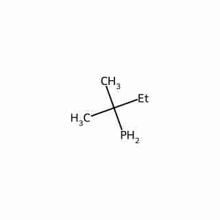 [CH2]CC(C)(C)P